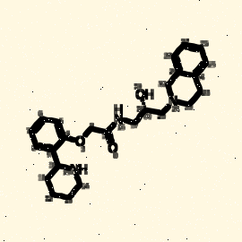 O=C(COc1ccccc1C1CCCCN1)NC[C@H](O)CN1CCc2ccccc2C1